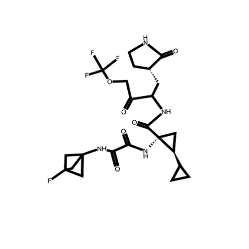 O=C(NC12CC(F)(C1)C2)C(=O)N[C@]1(C(=O)NC(C[C@@H]2CCNC2=O)C(=O)COC(F)(F)F)C[C@H]1C1CC1